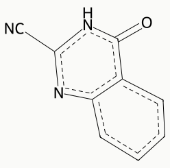 N#Cc1nc2ccccc2c(=O)[nH]1